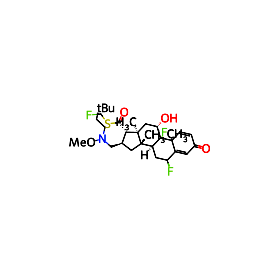 CON(CCC(C)(C)C)C[C@@H]1C[C@@]2(C)[C@@H]3C[C@H](F)C4=CC(=O)C=C[C@]4(C)[C@@]3(F)[C@@H](O)C[C@]2(C)[C@H]1C(=O)SCF